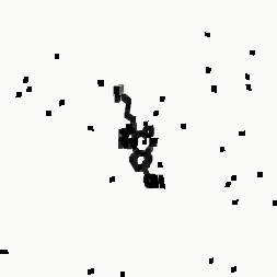 O=c1n(CCCF)nnn1-c1ccc(O)cc1F